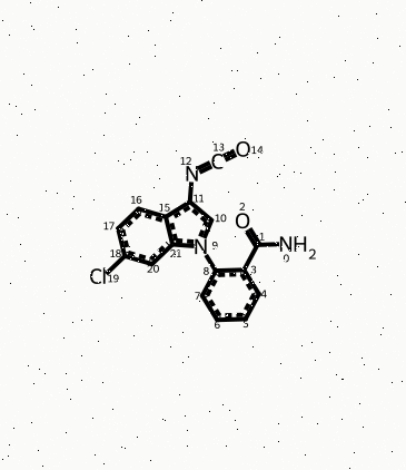 NC(=O)c1ccccc1-n1cc(N=C=O)c2ccc(Cl)cc21